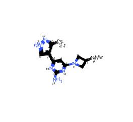 CNC1CN(c2cc(-c3c[nH]nc3C(F)(F)F)nc(N)n2)C1